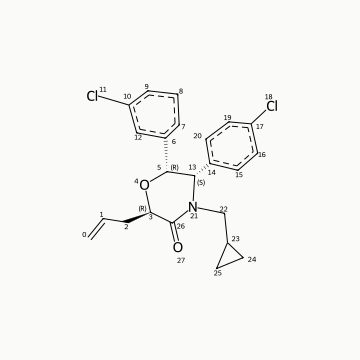 C=CC[C@H]1O[C@H](c2cccc(Cl)c2)[C@H](c2ccc(Cl)cc2)N(CC2CC2)C1=O